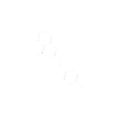 CCc1ccc(COc2nc3ccccc3c(=O)o2)cc1